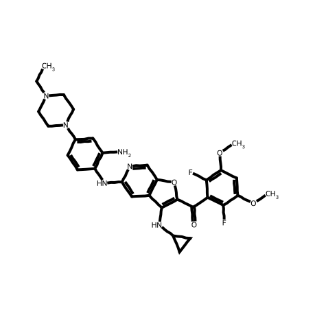 CCN1CCN(c2ccc(Nc3cc4c(NC5CC5)c(C(=O)c5c(F)c(OC)cc(OC)c5F)oc4cn3)c(N)c2)CC1